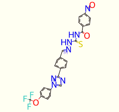 O=Nc1ccc(C(=O)NC(=S)N/N=C/c2ccc(-c3ncn(-c4ccc(OC(F)(F)F)cc4)n3)cc2)cc1